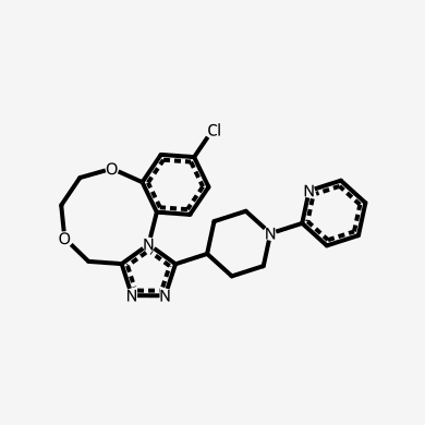 Clc1ccc2c(c1)OCCOCc1nnc(C3CCN(c4ccccn4)CC3)n1-2